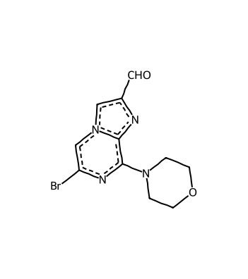 O=Cc1cn2cc(Br)nc(N3CCOCC3)c2n1